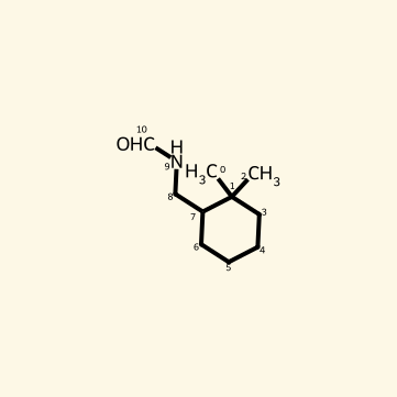 CC1(C)CCCCC1CNC=O